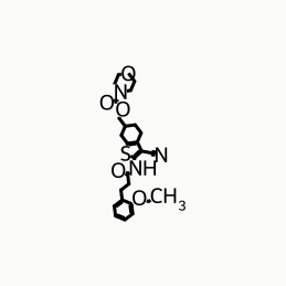 CCOc1ccccc1CCC(=O)Nc1sc2c(c1C#N)CCC(COC(=O)N1CCOCC1)C2